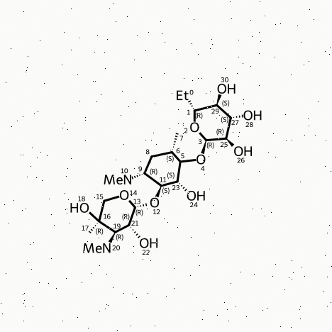 CC[C@H]1O[C@H](OC2[C@@H](C)C[C@@H](NC)[C@H](O[C@H]3OC[C@](C)(O)[C@H](NC)[C@H]3O)[C@H]2O)[C@H](O)[C@@H](O)[C@@H]1O